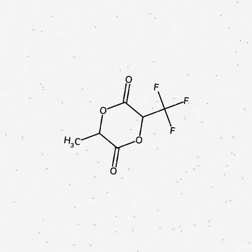 CC1OC(=O)C(C(F)(F)F)OC1=O